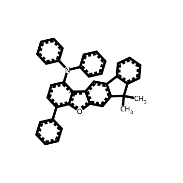 CC1(C)c2ccccc2-c2cc3c(cc21)oc1c(-c2ccccc2)ccc(N(c2ccccc2)c2ccccc2)c13